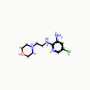 Nc1cc(Br)cnc1NCCN1CCOCC1